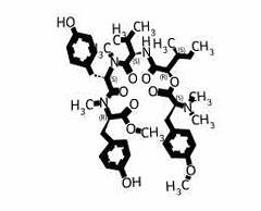 CC[C@H](C)[C@@H](OC(=O)[C@H](Cc1ccc(OC)cc1)N(C)C)C(=O)N[C@H](C(=O)N(C)[C@@H](Cc1ccc(O)cc1)C(=O)N(C)[C@H](Cc1ccc(O)cc1)C(=O)OC)C(C)C